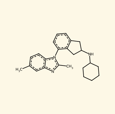 Cc1ccc2c(c1)nc(C)n2-c1cccc2c1CC(NC1CCCCC1)C2